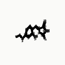 CCOc1ccc(/C=C2\SC(=S)NC2=O)c(O)c1